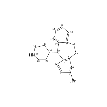 Brc1ccc2c(c1)CCc1cccnc1C2=C1CCNCC1